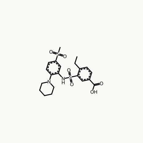 CCc1ccc(C(=O)O)cc1S(=O)(=O)Nc1cc(S(C)(=O)=O)ccc1N1CCCCC1